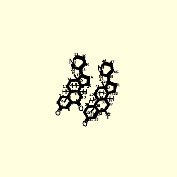 C[C@]12CCC(=O)C=C1C(=O)C[C@@H]1[C@@H]2CC[C@]2(C)C(c3cccnc3)=CC[C@@H]12.C[C@]12CCC(=O)C=C1[C@H](F)C[C@@H]1[C@@H]2CC[C@]2(C)C(c3cccnc3)=CC[C@@H]12